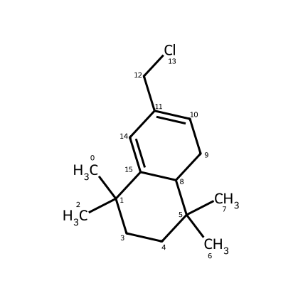 CC1(C)CCC(C)(C)C2CC=C(CCl)C=C21